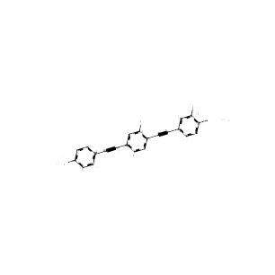 CCCCCCc1ccc(C#Cc2ccc(C#Cc3ccc(CCCCCC)c(F)c3)c(F)c2)cc1